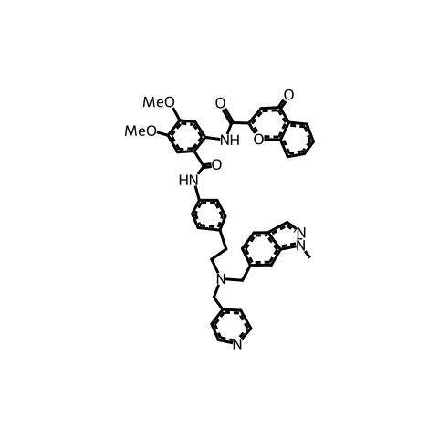 COc1cc(NC(=O)c2cc(=O)c3ccccc3o2)c(C(=O)Nc2ccc(CCN(Cc3ccncc3)Cc3ccc4cnn(C)c4c3)cc2)cc1OC